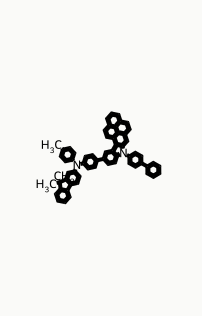 Cc1ccc(N(c2ccc(-c3ccc4c(c3)c3c5ccc6cccc7ccc(cc3n4-c3ccc(-c4ccccc4)cc3)c5c76)cc2)c2ccc3c(c2)C(C)(C)c2ccccc2-3)cc1